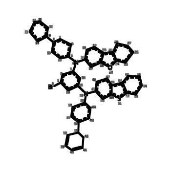 Brc1cc(N(c2ccc(-c3ccccc3)cc2)c2ccc3c(c2)oc2ccccc23)cc(N(c2ccc(C3C=CC=CC3)cc2)c2ccc3c(c2)sc2ccccc23)c1